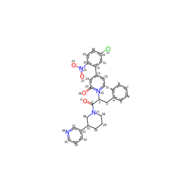 O=C(C(Cc1ccccc1)n1ccc(-c2cc(Cl)ccc2[N+](=O)[O-])cc1=O)N1CCCC(c2cccnc2)C1